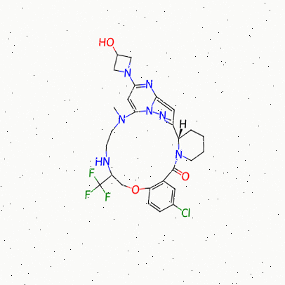 CN1CCNC(C(F)(F)F)COc2ccc(Cl)cc2C(=O)N2CCCC[C@H]2c2cc3nc(N4CC(O)C4)cc1n3n2